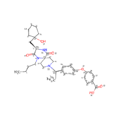 CCCCN1C(=O)[C@@H](CC2(O)CCCCC2)NC(=O)C12CCN(C(C)c1ccc(Oc3ccc(C(=O)O)cc3)cc1)CC2